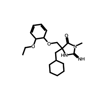 CCOC1C=CC=CC1OCC1(CC2CCCCC2)NC(=N)N(C)C1=O